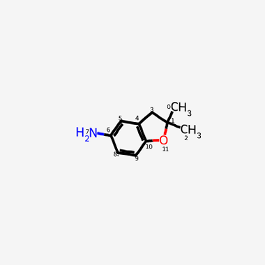 CC1(C)Cc2cc(N)[c]cc2O1